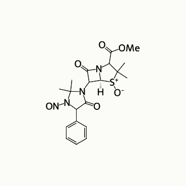 COC(=O)C1N2C(=O)C(N3C(=O)C(c4ccccc4)N(N=O)C3(C)C)[C@@H]2[S+]([O-])C1(C)C